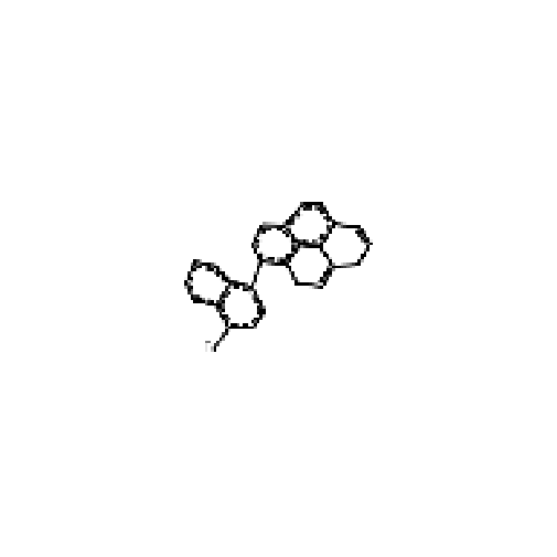 Brc1ccc(-c2ccc3ccc4c5c3c2CC=C5CC=C4)c2ccccc12